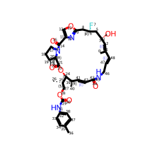 CC1=C\[C@@H](O)C[C@@H](F)Cc2nc(co2)C(=O)N2CCC[C@@H]2C(=O)O[C@H]([C@@H](C)COC(=O)Nc2ccc(C)cc2)[C@H](C)/C=C/C(=O)NC\C=C\1